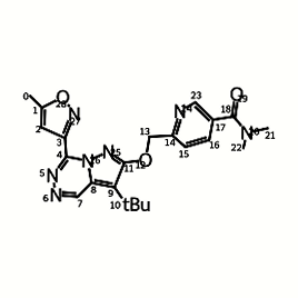 Cc1cc(-c2nncc3c(C(C)(C)C)c(OCc4ccc(C(=O)N(C)C)cn4)nn23)no1